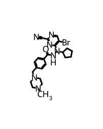 CN1CCN(Cc2ccc(C(=O)NN(c3nc(C#N)ncc3Br)C3CCCC3)cc2)CC1